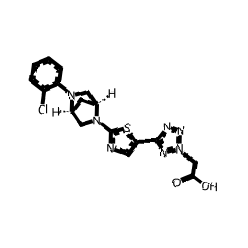 O=C(O)Cn1nnc(-c2cnc(N3C[C@@H]4C[C@H]3CN4c3ccccc3Cl)s2)n1